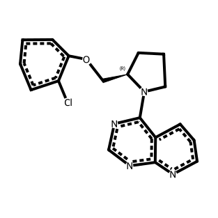 Clc1ccccc1OC[C@H]1CCCN1c1ncnc2ncccc12